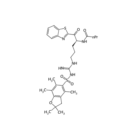 CCCC(=O)N[C@@H](CCCNC(=N)NS(=O)(=O)c1c(C)c(C)c2c(c1C)CC(C)(C)O2)C(=O)c1nc2ccccc2s1